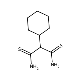 NC(=S)C(C(N)=S)C1CCCCC1